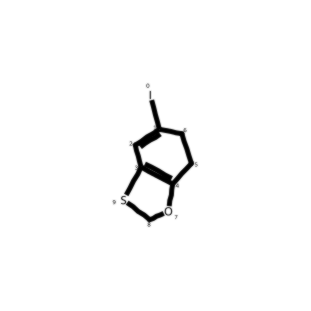 IC1=CC2=C(CC1)OCS2